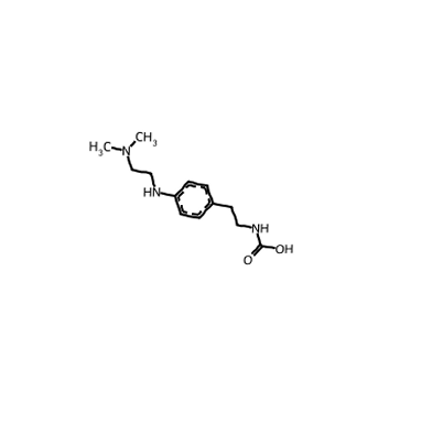 CN(C)CCNc1ccc(CCNC(=O)O)cc1